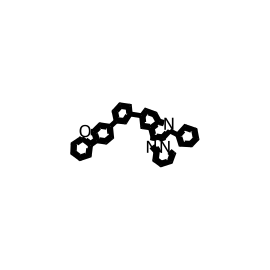 c1ccc(-c2nc3ccc(-c4cccc(-c5ccc6c(c5)oc5ccccc56)c4)cc3c3nc4ccccn4c23)cc1